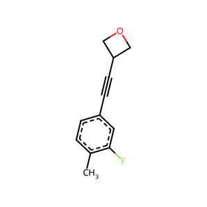 Cc1ccc(C#CC2COC2)cc1F